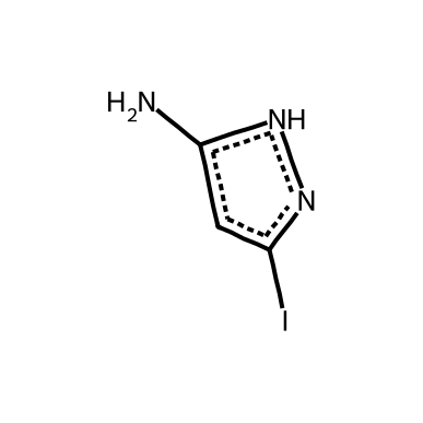 Nc1cc(I)n[nH]1